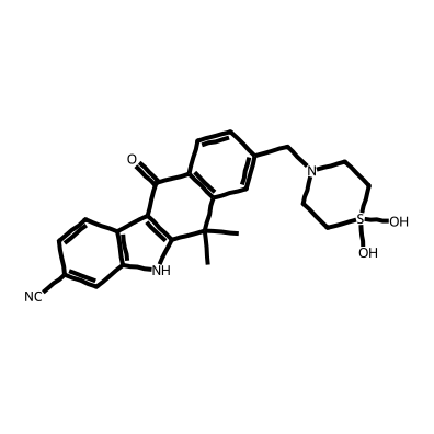 CC1(C)c2cc(CN3CCS(O)(O)CC3)ccc2C(=O)c2c1[nH]c1cc(C#N)ccc21